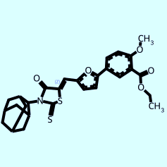 CCOC(=O)c1cc(-c2ccc(/C=C3\SC(=S)N(C4C5CC6CC(C5)CC4C6)C3=O)o2)ccc1OC